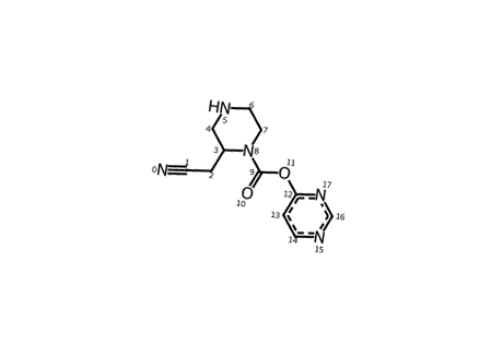 N#CCC1CNCCN1C(=O)Oc1ccncn1